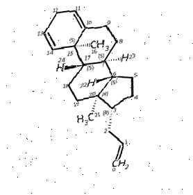 C=CC[C@H]1CC[C@H]2[C@@H]3CCC4=CCC=C[C@]4(C)[C@H]3CC[C@]12C